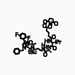 CC(C)[C@H](NC(=O)CCCC(=O)ON1C(=O)CCC1=O)C(=O)N[C@@H](C)C(=O)NCCCN(C(C)O)[C@@H](c1nc(-c2cc(F)ccc2F)cn1Cc1ccccc1)C(C)(C)C